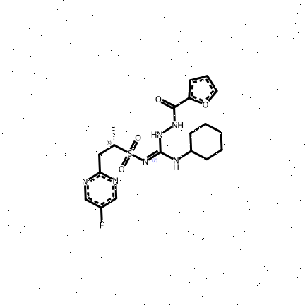 C[C@@H](Cc1ncc(F)cn1)S(=O)(=O)/N=C(\NNC(=O)c1ccco1)NC1CCCCC1